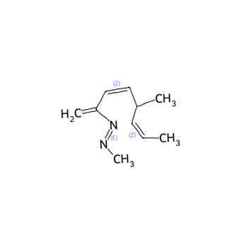 C=C(/C=C\C(C)/C=C\C)/N=N/C